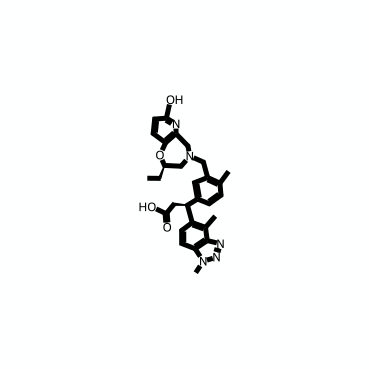 CC[C@@H]1CN(Cc2cc([C@H](CC(=O)O)c3ccc4c(nnn4C)c3C)ccc2C)Cc2nc(O)ccc2O1